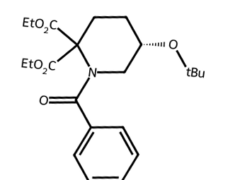 CCOC(=O)C1(C(=O)OCC)CC[C@H](OC(C)(C)C)CN1C(=O)c1ccccc1